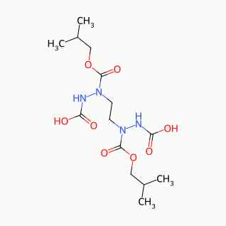 CC(C)COC(=O)N(CCN(NC(=O)O)C(=O)OCC(C)C)NC(=O)O